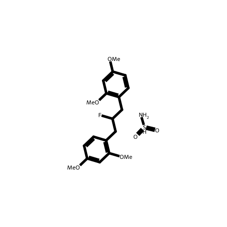 COc1ccc(CC(F)Cc2ccc(OC)cc2OC)c(OC)c1.N[SH](=O)=O